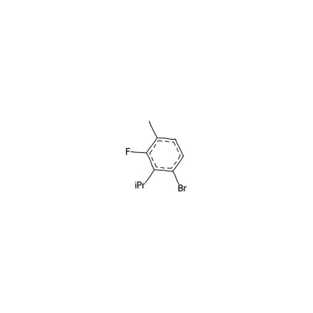 Cc1ccc(Br)c(C(C)C)c1F